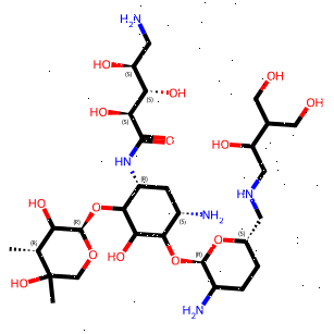 C[C@@H]1C(O)[C@@H](OC2C(O)C(O[C@H]3O[C@H](CNCC(O)C(CO)CO)CCC3N)[C@@H](N)C[C@H]2NC(=O)[C@@H](O)[C@@H](O)[C@@H](O)CN)OCC1(C)O